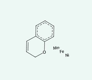 C1=Cc2ccccc2OC1.[Fe].[Mn].[Ni]